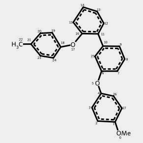 COc1ccc(Oc2cccc(-c3cc[c]cc3Oc3ccc(C)cc3)c2)cc1